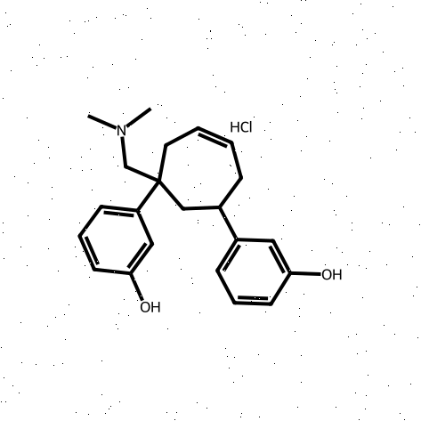 CN(C)CC1(c2cccc(O)c2)CC=CCC(c2cccc(O)c2)C1.Cl